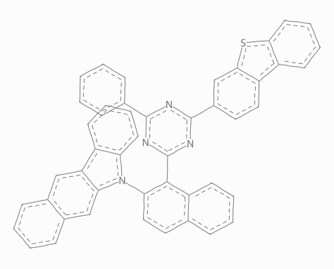 c1ccc(-c2nc(-c3ccc4c(c3)sc3ccccc34)nc(-c3c(-n4c5ccccc5c5cc6ccccc6cc54)ccc4ccccc34)n2)cc1